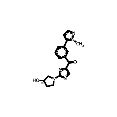 Cn1nccc1-c1cccc(C(=O)c2cnc(N3CC[C@@H](O)C3)s2)c1